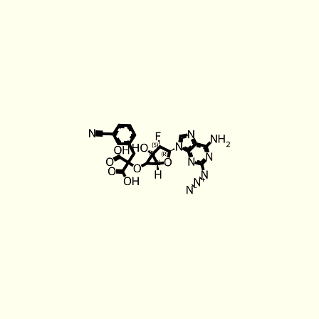 N#Cc1cccc(CC(OC2[C@H]3O[C@@H](n4cnc5c(N)nc(N=[N+]=[N-])nc54)[C@@H](F)[C@@]23O)(C(=O)O)C(=O)O)c1